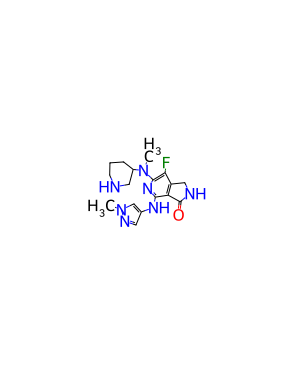 CN(c1nc(Nc2cnn(C)c2)c2c(c1F)CNC2=O)C1CCCNC1